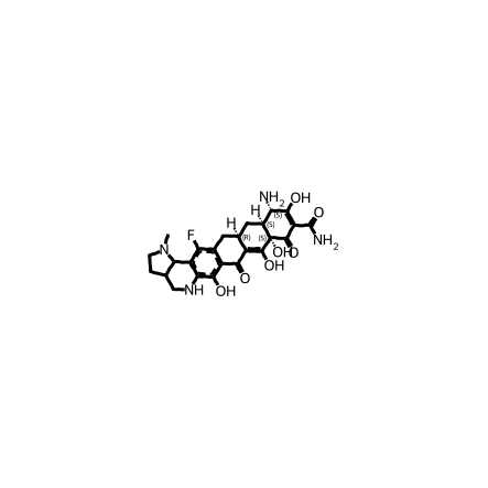 CN1CCC2CNc3c(O)c4c(c(F)c3C21)C[C@H]1C[C@H]2[C@H](N)C(O)=C(C(N)=O)C(=O)[C@@]2(O)C(O)=C1C4=O